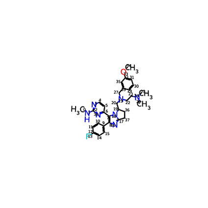 CNc1nccc(-c2c(-c3ccc(F)cc3)nc3n2C(CN(CCN(C)C)Cc2cccc(OC)c2)CC3)n1